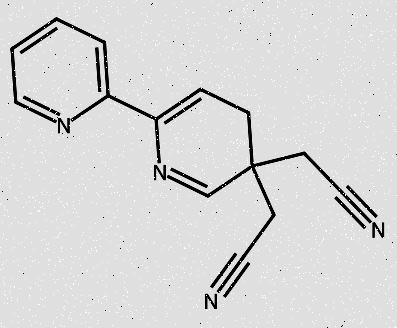 N#CCC1(CC#N)C=NC(c2ccccn2)=CC1